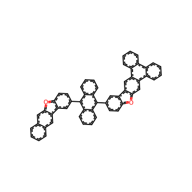 c1ccc2cc3c(cc2c1)oc1ccc(-c2c4ccccc4c(-c4ccc5oc6cc7c8ccccc8c8ccccc8c7cc6c5c4)c4ccccc24)cc13